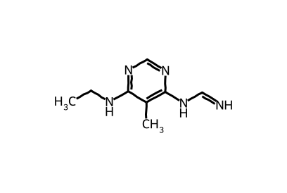 CCNc1ncnc(NC=N)c1C